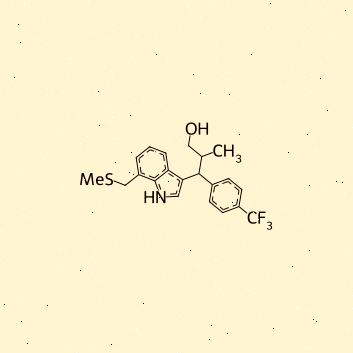 CSCc1cccc2c(C(c3ccc(C(F)(F)F)cc3)C(C)CO)c[nH]c12